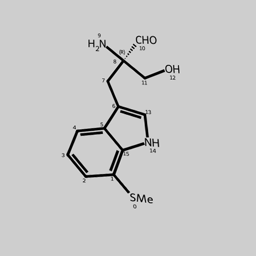 CSc1cccc2c(C[C@](N)(C=O)CO)c[nH]c12